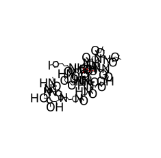 CCNC(=O)c1nnc2n1-c1ccc3c(c1)c(cn3CCC1CCN(C(=O)CCNC(=O)[C@@H](CCC(=O)O)NC(=O)[C@@H](CCC(=O)O)NC(=O)[C@@H](CCC(=O)O)NC(=O)COCCOCCNC(=O)[C@H](CCCCNC(=O)CC[C@H](C(=O)OC(C)(C)C)N3CCN(CC(=O)OC(C)(C)C)CCN(CC(=O)OC(C)(C)C)CCN(CC(=O)OC(C)(C)C)CC3)NC(=O)CCCc3ccc(I)cc3)CC1)C(C)c1cc-2c(O)cc1O